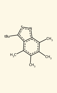 Cc1c(C)c(C)c2c(C(C)(C)C)snc2c1C